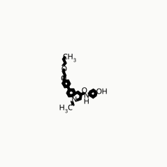 CCCCOCCOc1ccc(-c2ccc3c(c2)C=C(C(=O)Nc2ccc(O)cc2)CCN3CCC)cc1